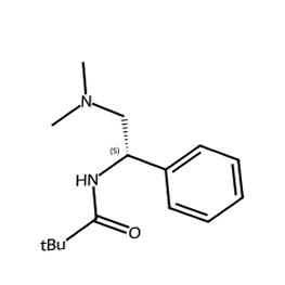 CN(C)C[C@@H](NC(=O)C(C)(C)C)c1ccccc1